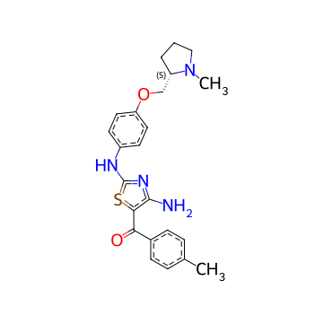 Cc1ccc(C(=O)c2sc(Nc3ccc(OC[C@@H]4CCCN4C)cc3)nc2N)cc1